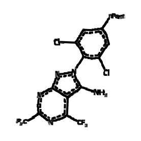 CCCCCc1cc(Cl)c(-n2nc3nc(C(F)(F)F)nc(C(F)(F)F)c3c2N)c(Cl)c1